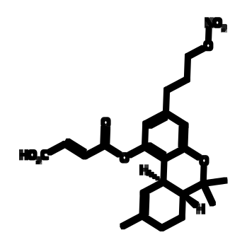 CC1=C[C@H]2c3c(OC(=O)C=CC(=O)O)cc(CCCO[N+](=O)[O-])cc3OC(C)(C)[C@@H]2CC1